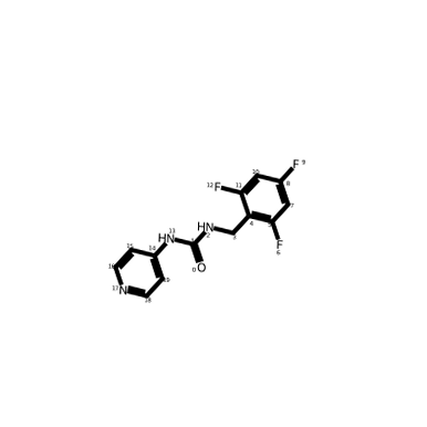 O=C(NCc1c(F)cc(F)cc1F)Nc1ccncc1